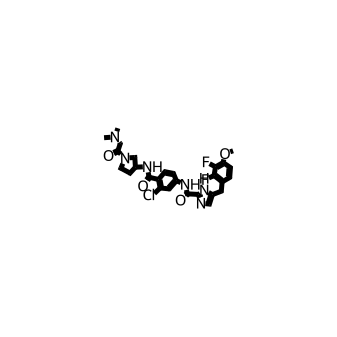 COc1ccc(Cc2cnc(C(=O)Nc3ccc(C(=O)NC4CCN(C(=O)CN(C)C)C4)c(Cl)c3)[nH]2)c(F)c1F